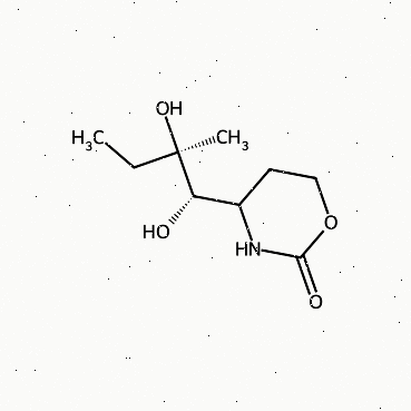 CC[C@@](C)(O)[C@@H](O)C1CCOC(=O)N1